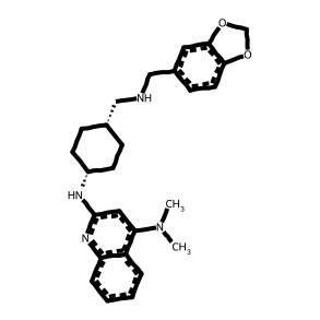 CN(C)c1cc(N[C@H]2CC[C@@H](CNCc3ccc4c(c3)OCO4)CC2)nc2ccccc12